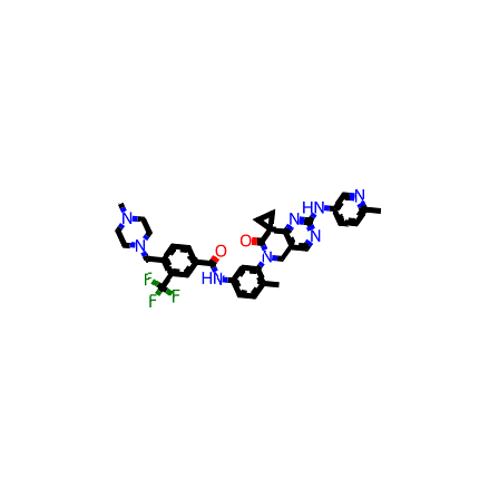 Cc1ccc(Nc2ncc3c(n2)C2(CC2)C(=O)N(c2cc(NC(=O)c4ccc(CN5CCN(C)CC5)c(C(F)(F)F)c4)ccc2C)C3)cn1